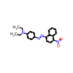 CCN(CC)c1ccc(N=Nc2ccc([N+](=O)[O-])c3ccccc23)cc1